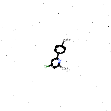 COc1ccc(-c2cc(Cl)cc(C(=O)O)n2)cc1